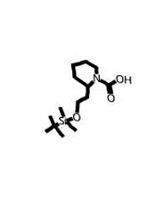 CC(C)(C)[Si](C)(C)OCCC1CCCCN1C(=O)O